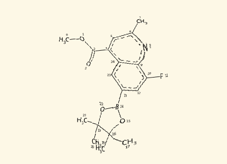 COC(=O)c1cc(C)nc2c(F)cc(B3OC(C)(C)C(C)(C)O3)cc12